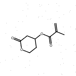 C=C(C)C(=O)OC1CCOC(=O)C1